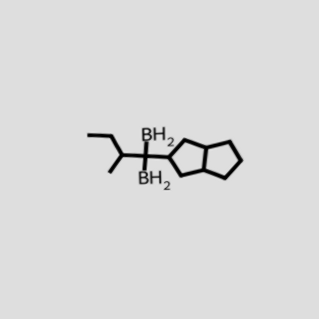 BC(B)(C(C)CC)C1CC2CCCC2C1